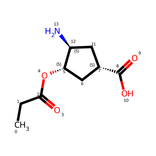 CCC(=O)O[C@H]1C[C@@H](C(=O)O)C[C@@H]1N